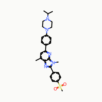 Cc1cc(-c2ccc(N3CCN(C(C)C)CC3)cc2)nc2c1nc(-c1ccc(S(C)(=O)=O)cc1)n2C